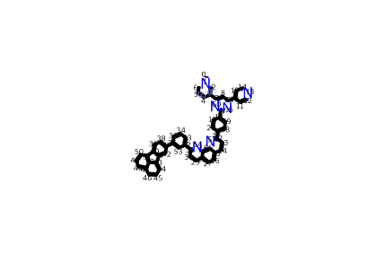 C=N/C=C(\C=C/C)c1cc(-c2ccncc2)nc(-c2ccc(-c3ccc4ccc5ccc(-c6cccc(-c7ccc8c(c7)-c7cccc9cccc-8c79)c6)nc5c4n3)cc2)n1